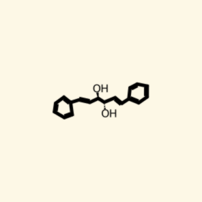 O[C@H](C=Cc1ccccc1)[C@@H](O)C=Cc1ccccc1